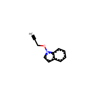 C#CCOn1ccc2ccccc21